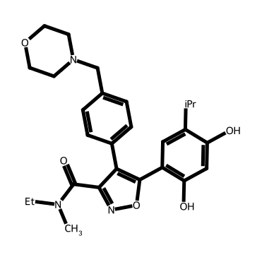 CCN(C)C(=O)c1noc(-c2cc(C(C)C)c(O)cc2O)c1-c1ccc(CN2CCOCC2)cc1